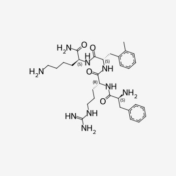 Cc1ccccc1C[C@H](NC(=O)[C@@H](CCCNC(=N)N)NC(=O)[C@@H](N)Cc1ccccc1)C(=O)N[C@@H](CCCCN)C(N)=O